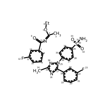 CCOC(C)=NC(=O)c1cccc(F)c1.Cc1nc(-c2cccc(F)c2)n(-c2ccc(S(N)(=O)=O)cc2)n1